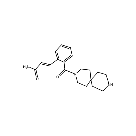 NC(=O)C=Cc1ccccc1C(=O)N1CCC2(CCNCC2)CC1